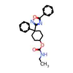 CCNC(=O)OC1CCC(c2ccccc2)(c2noc(-c3ccccc3)n2)CC1